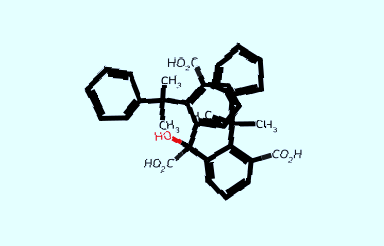 CC(C)(c1ccccc1)c1c(C(=O)O)cccc1C(O)(C(=O)O)c1cccc(C(=O)O)c1C(C)(C)c1ccccc1